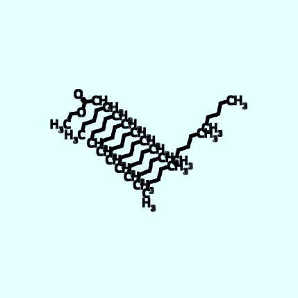 CCCCC.CCCCC.CCCCC.CCCCC.CCCCC.CCCCC.CCCCC.CCCCC.CCCCC.CCCCC.CCOC(C)=O